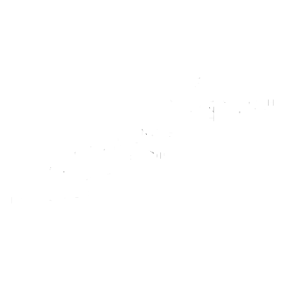 CC(C)(C)[C@@H](COc1ccc(-c2ccc(C(F)(F)F)cc2F)c(Cl)c1)Nc1ccc(C(=O)NCCC(=O)O)cc1